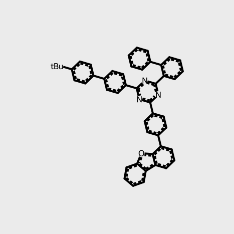 CC(C)(C)c1ccc(-c2ccc(-c3nc(-c4ccc(-c5cccc6c5oc5ccccc56)cc4)nc(-c4ccccc4-c4ccccc4)n3)cc2)cc1